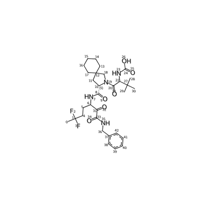 CC(F)(F)CCC(NC(=O)[C@@H]1CC2(CCCCC2)CN1C(=O)C(NC(=O)O)C(C)(C)C)C(=O)C(=O)NCc1ccccc1